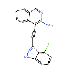 Nc1ncc2ccccc2c1C#Cc1n[nH]c2cccc(F)c12